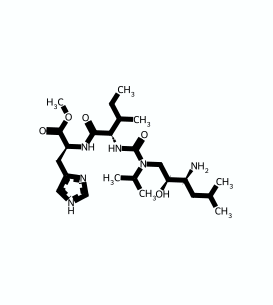 CCC(C)[C@H](NC(=O)N(C[C@H](O)[C@@H](N)CC(C)C)C(C)C)C(=O)N[C@@H](Cc1c[nH]cn1)C(=O)OC